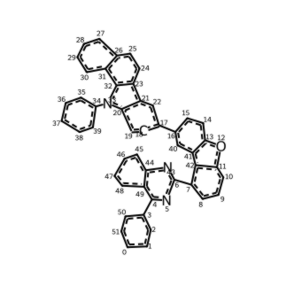 c1ccc(-c2nc(-c3cccc4oc5ccc(-c6ccc7c(c6)c6ccc8ccccc8c6n7-c6ccccc6)cc5c34)nc3ccccc23)cc1